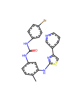 Cc1ccc(NC(=O)Nc2ccc(Br)cc2)cc1Nc1nc(-c2cccnc2)cs1